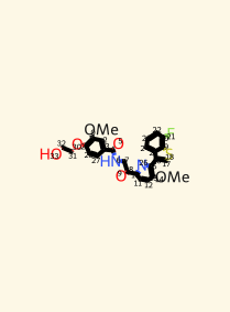 COc1cc(C(=O)NCC(=O)c2ccc(OC)c(-c3csc4c(F)cccc34)n2)ccc1OCCO